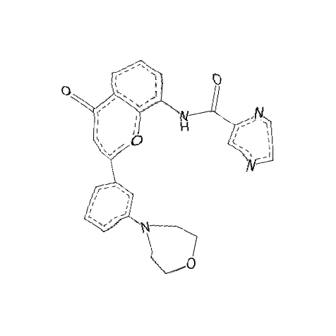 O=C(Nc1cccc2c(=O)cc(-c3cccc(N4CCOCC4)c3)oc12)c1cnccn1